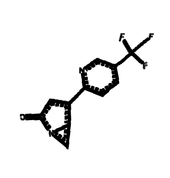 O=c1cc(-c2ccc(C(F)(F)F)cn2)c2cn1-2